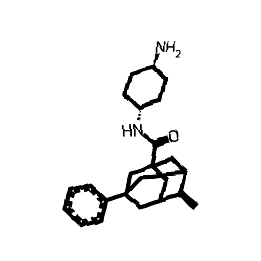 C=C1C2CC3(C(=O)N[C@H]4CC[C@H](N)CC4)CC1CC(c1ccccc1)(C2)C3